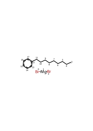 [Br][Mg][Br].[CH2]CCCCCCCCc1ccccc1